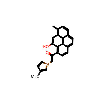 COC1=C[SH](CC(=O)c2ccc3ccc4ccc(C)c5cc(O)c2c3c45)C=C1